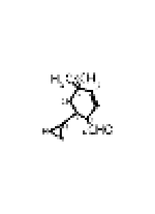 CC1(C)C=CC(C=O)C(C2CC2)C1